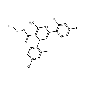 CCOC(=O)C1=C(C)NC(c2ncc(F)cc2F)=NC1c1ccc(Cl)cc1F